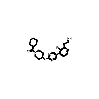 N=CCc1cccc(-c2cnc(OC3CCN(C(=O)C4CCCCC4)CC3)nc2)c1F